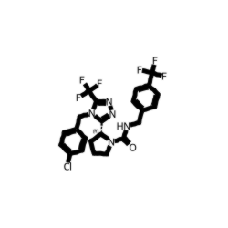 O=C(NCc1ccc(C(F)(F)F)cc1)N1CCC[C@@H]1c1nnc(C(F)(F)F)n1Cc1ccc(Cl)cc1